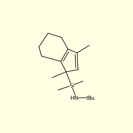 CC1=CC(C)([Si](C)(C)NC(C)(C)C)C2=C1CCCC2